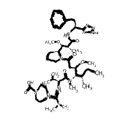 CC[C@H](C)[C@@H]([C@@H](CC(=O)N1CCC[C@H]1[C@H](OC)[C@@H](C)C(=O)N[C@@H](Cc1ccccc1)c1nn[nH]n1)OC)N(C)C(=O)[C@@H](N=C(N(C)C)N1CCN(C(=O)O)CC1)C(C)C